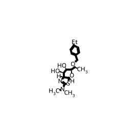 CCc1ccc(CO[C@@H](C)[C@H]2O[C@@H]3SC(N(C)C)=N[C@@H]3[C@@H](O)[C@@H]2O)cc1